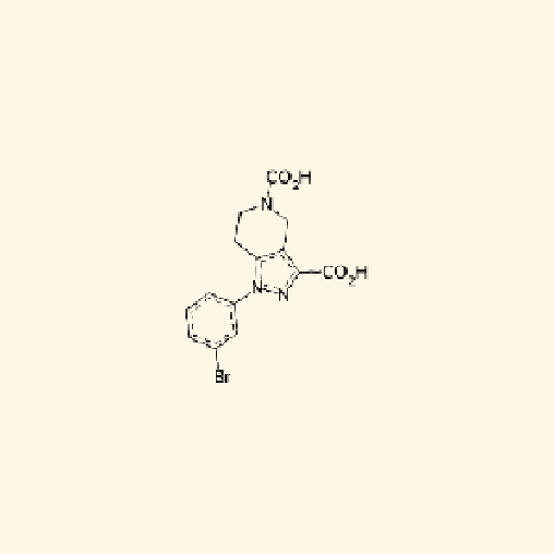 O=C(O)c1nn(-c2cccc(Br)c2)c2c1CN(C(=O)O)CC2